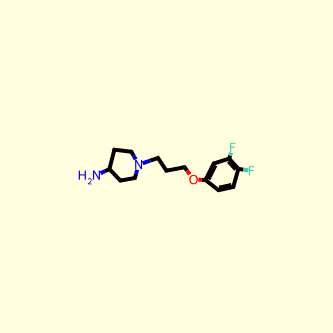 NC1CCN(CCCOc2ccc(F)c(F)c2)CC1